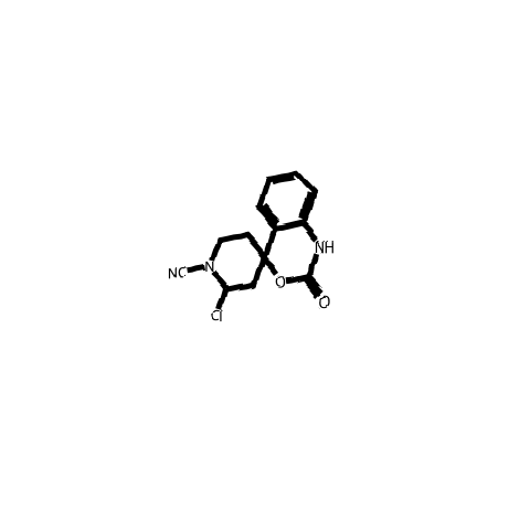 N#CN1CCC2(CC1Cl)OC(=O)Nc1ccccc12